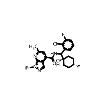 Cc1cc(C(=O)NC(c2cccc(F)c2Cl)[C@]2(O)CC[C@H](F)CC2)c2cnn(C(C)C)c2n1